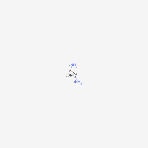 NCCN.[BaH2]